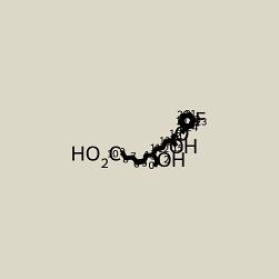 CC(O)C(C/C=C\CCCC(=O)O)CCCC(O)COc1cccc(F)c1